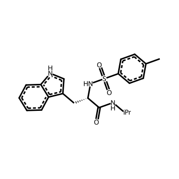 Cc1ccc(S(=O)(=O)N[C@@H](Cc2c[nH]c3ccccc23)C(=O)NC(C)C)cc1